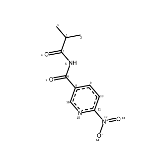 CC(C)C(=O)NC(=O)c1ccc([N+](=O)[O-])nc1